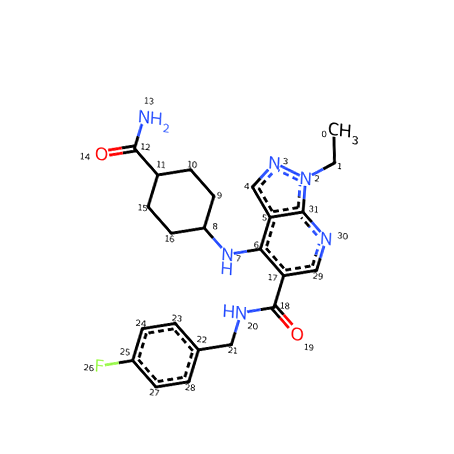 CCn1ncc2c(NC3CCC(C(N)=O)CC3)c(C(=O)NCc3ccc(F)cc3)cnc21